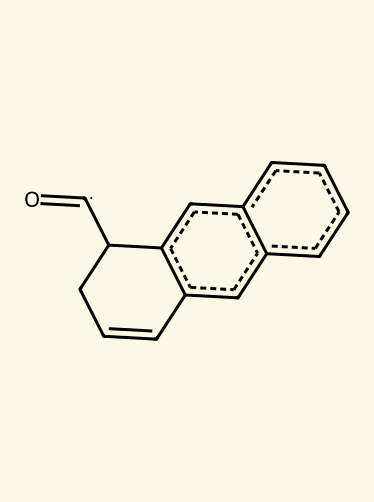 O=[C]C1CC=Cc2cc3ccccc3cc21